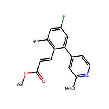 COc1cc(-c2cc(F)cc(C(C)C)c2/C=C/C(=O)OC(C)(C)C)ccn1